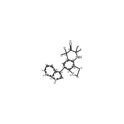 CC1(C)Nc2c(cc(-c3csc4ncccc34)c3c2CCC3)C(C)(C)C1=O